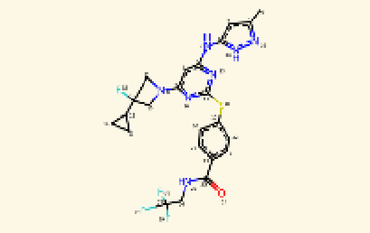 Cc1cc(Nc2cc(N3CC(F)(C4CC4)C3)nc(Sc3ccc(C(=O)NCC(F)(F)F)cc3)n2)[nH]n1